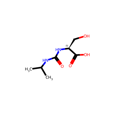 CC(C)NC(=O)N[C@@H](CO)C(=O)O